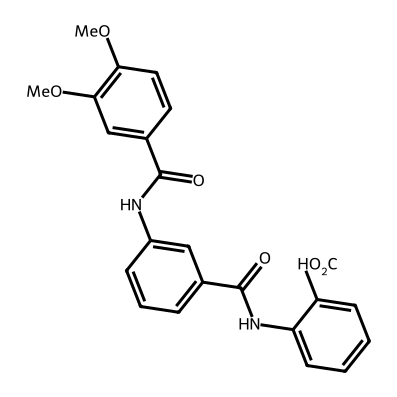 COc1ccc(C(=O)Nc2cccc(C(=O)Nc3ccccc3C(=O)O)c2)cc1OC